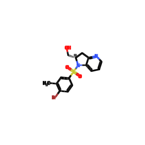 Cc1cc(S(=O)(=O)N2c3cccnc3C[C@H]2CO)ccc1Br